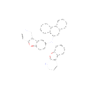 C1=Cc2c(oc3c(N(c4ccc5oc6c(c5c4)CNC=C6)c4cc5ccccc5c5ccccc45)cccc23)NC1